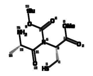 COC(=O)[C@H](CS)N(C(=O)OC(C)(C)C)C(=O)[C@H](C)N